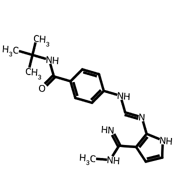 CNC(=N)c1cc[nH]c1/N=C/Nc1ccc(C(=O)NC(C)(C)C)cc1